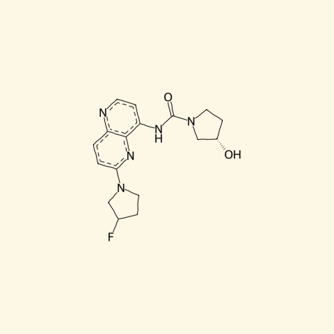 O=C(Nc1ccnc2ccc(N3CCC(F)C3)nc12)N1CC[C@H](O)C1